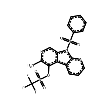 Nc1ncc2c(c1OS(=O)(=O)C(F)(F)F)c1cccnc1n2S(=O)(=O)c1ccccc1